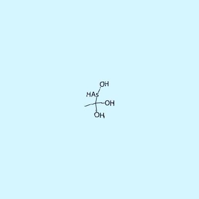 CC(O)(O)[AsH]O